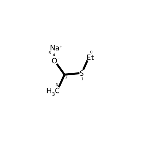 CCSC(C)[O-].[Na+]